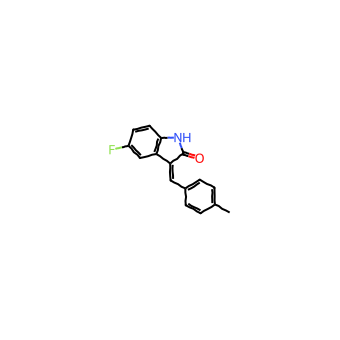 Cc1ccc(C=C2C(=O)Nc3ccc(F)cc32)cc1